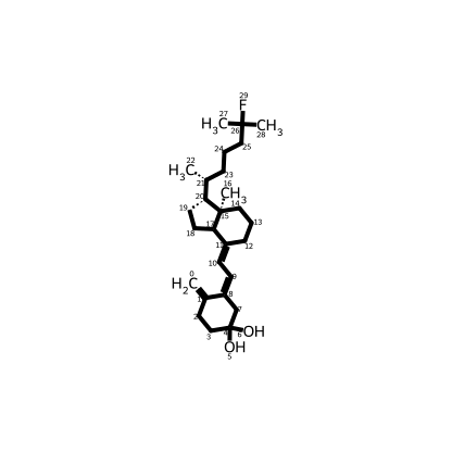 C=C1CCC(O)(O)C/C1=C/C=C1CCC[C@@]2(C)C1CC[C@@H]2[C@H](C)CCCC(C)(C)F